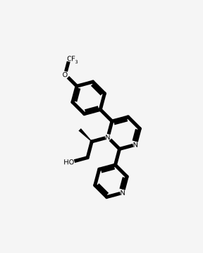 C[C@H](CO)N1C(c2ccc(OC(F)(F)F)cc2)=CC=NC1c1cccnc1